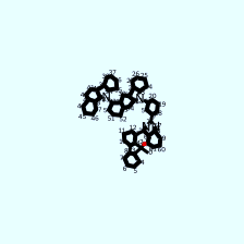 CC1(C)c2ccccc2-c2cccc(-c3nc(-c4cccc(-n5c6ccccc6c6cc7c(-n8c9ccccc9c9ccc%10ccccc%10c98)cccc7cc65)c4)nc4ccccc34)c21